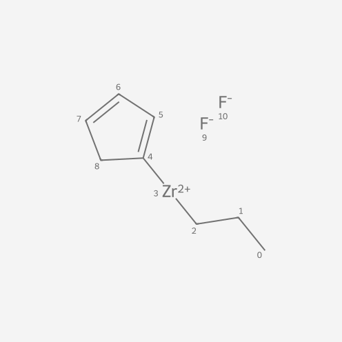 CC[CH2][Zr+2][C]1=CC=CC1.[F-].[F-]